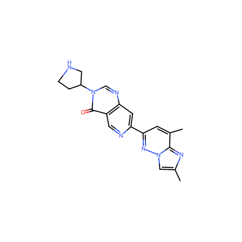 Cc1cn2nc(-c3cc4ncn(C5CCNC5)c(=O)c4cn3)cc(C)c2n1